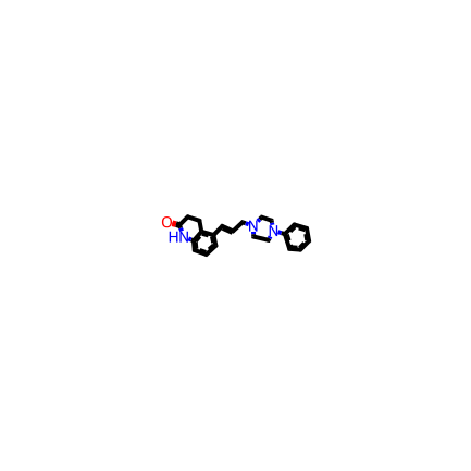 O=C1CCc2c(C=CCN3CCN(c4ccccc4)CC3)cccc2N1